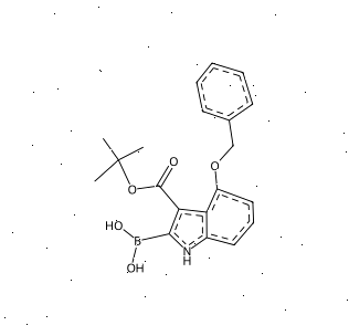 CC(C)(C)OC(=O)c1c(B(O)O)[nH]c2cccc(OCc3ccccc3)c12